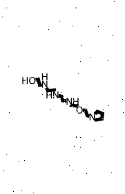 OCCNCCNCCNCCOCCN1CCCC1